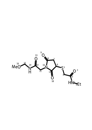 CCNC(=O)CSC1CC(=O)N(CC(=O)NCOC)C1=O